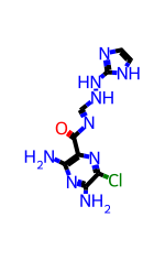 Nc1nc(N)c(C(=O)N=CNNc2ncc[nH]2)nc1Cl